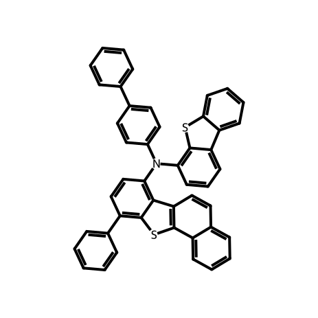 c1ccc(-c2ccc(N(c3cccc4c3sc3ccccc34)c3ccc(-c4ccccc4)c4sc5c6ccccc6ccc5c34)cc2)cc1